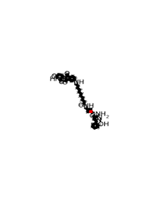 Nc1nnc(-c2ccccc2O)cc1OCC12CC(CNC(=O)CCCCCCCCCCNc3ccc4c(c3)C(=O)N(C3CCC(=O)NC3=O)C4=O)(C1)C2